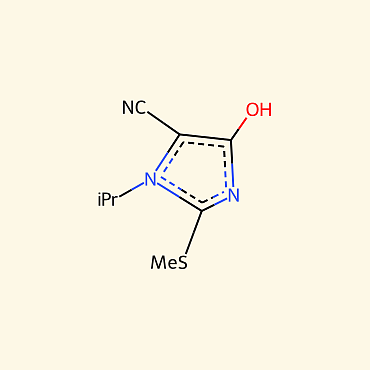 CSc1nc(O)c(C#N)n1C(C)C